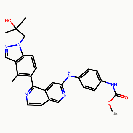 Cc1c(-c2nccc3cnc(Nc4ccc(NC(=O)OC(C)(C)C)cc4)cc23)ccc2c1cnn2CC(C)(C)O